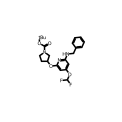 CC(C)(C)OC(=O)N1CCC(Oc2cc(OC(F)F)cc(NCc3ccccc3)n2)C1